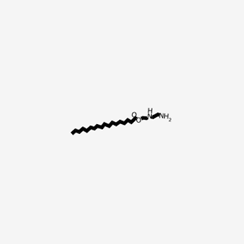 CCCCCCCCCCCCCCCCCC(=O)OCCNCCN